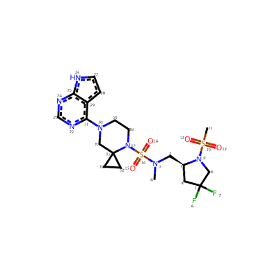 CN(C[C@@H]1CC(F)(F)CN1S(C)(=O)=O)S(=O)(=O)N1CCN(c2ncnc3[nH]ccc23)CC12CC2